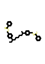 CCC(CCCCCC(C)c1ccc(CSC(=S)c2ccccc2)cc1)c1ccc(CSC(=S)c2ccccc2)cc1